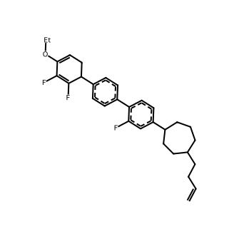 C=CCCC1CCCC(c2ccc(-c3ccc(C4CC=C(OCC)C(F)=C4F)cc3)c(F)c2)CC1